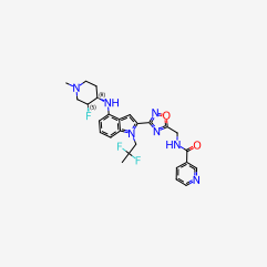 CN1CC[C@@H](Nc2cccc3c2cc(-c2noc(CNC(=O)c4cccnc4)n2)n3CC(C)(F)F)[C@@H](F)C1